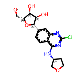 [O]C[C@H]1O[C@@H](c2ccc3c(N[C@H]4CCOC4)nc(Cl)nc3c2)[C@H](O)[C@@H]1O